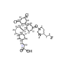 CC[C@@H](CN(C)CCCF)Oc1ccc(C2=C(c3ccc(Cl)cc3Cl)CCCc3cc(/C=C/C(=O)O)ccc32)cc1